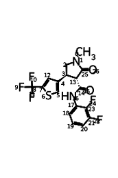 CN1C[C@H](c2csc(C(F)(F)F)c2)[C@@H](C(=O)Nc2cccc(F)c2F)C1=O